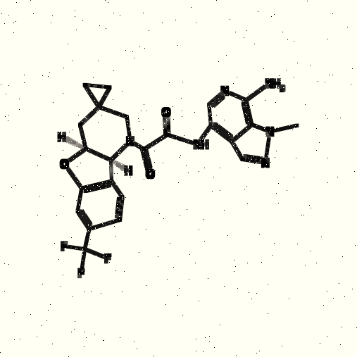 Cn1ncc2c(NC(=O)C(=O)N3CC4(CC4)C[C@@H]4Oc5cc(C(F)(F)F)ccc5[C@@H]43)cnc(N)c21